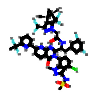 Cn1nc(NS(C)(=O)=O)c2c(Cl)ccc(-n3c([C@H](Cc4cc(F)cc(F)c4)NC(=O)Cn4nc(C(F)F)c5c4C(F)(F)[C@@H]4C[C@H]54)nc4nc(-c5cccc(C(C)(F)F)n5)ccc4c3=O)c21